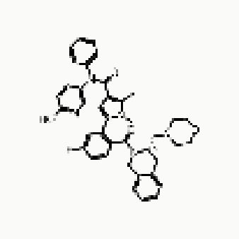 Cc1c(C(=O)N(c2ccccc2)c2ccc(O)nc2)cc(-c2cc(F)ccc2C(=O)N2Cc3ccccc3C[C@H]2CN2CCOCC2)n1C